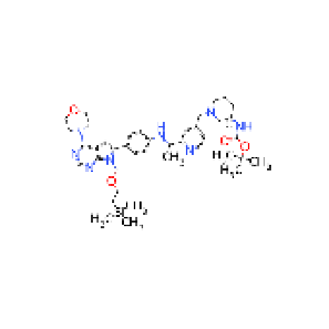 CC(Nc1ccc(-c2cc3c(N4CCOCC4)ncnc3n2COCC[Si](C)(C)C)cc1)c1cc(CN2CCC[C@@H](NC(=O)OC(C)(C)C)C2)ccn1